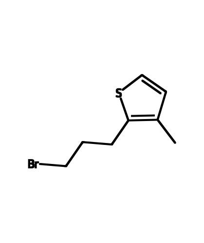 Cc1ccsc1CCCBr